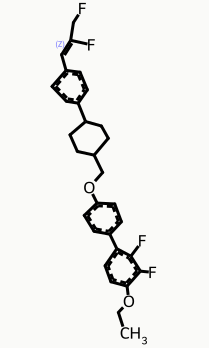 CCOc1ccc(-c2ccc(OCC3CCC(c4ccc(/C=C(\F)CF)cc4)CC3)cc2)c(F)c1F